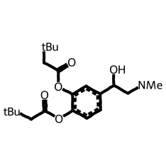 CNCC(O)c1ccc(OC(=O)CC(C)(C)C)c(OC(=O)CC(C)(C)C)c1